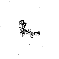 Cn1nc(C(F)(F)F)c(C=CC(=O)NS(=O)(=O)NCC2CC2)c1-n1ccc2cccnc21